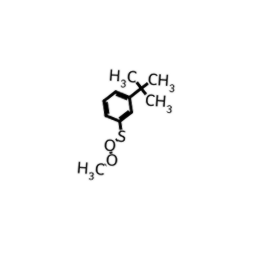 COOSc1cccc(C(C)(C)C)c1